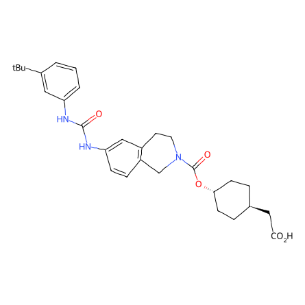 CC(C)(C)c1cccc(NC(=O)Nc2ccc3c(c2)CCN(C(=O)O[C@H]2CC[C@H](CC(=O)O)CC2)C3)c1